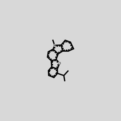 CC(C)c1cccc2c1oc1c2ccc2c1c1ccccc1n2C